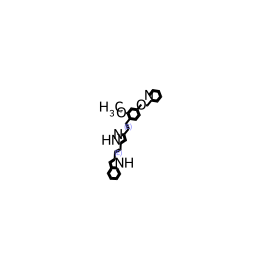 COc1cc(OCc2ccccn2)ccc1/C=C/c1cc(/C=C/c2cc3ccccc3[nH]2)[nH]n1